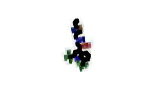 C=Cc1nc(CNCC(O)c2cc(C(F)(F)F)nc3c(C(F)(F)F)cccc23)cs1